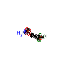 CC(C)(c1ccc(OCc2oc(N)nc2S(C)(=O)=O)cc1)c1cc(Cl)c(OCCCl)c(Cl)c1